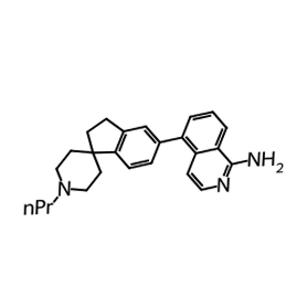 CCCN1CCC2(CCc3cc(-c4cccc5c(N)nccc45)ccc32)CC1